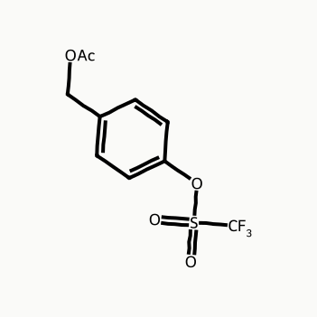 CC(=O)OCc1ccc(OS(=O)(=O)C(F)(F)F)cc1